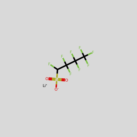 O=S(=O)([O-])C(F)C(F)(F)C(F)(F)C(F)(F)F.[Li+]